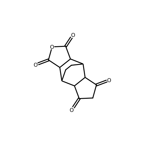 O=C1CC(=O)C2C3CCC(C12)C1C(=O)OC(=O)C31